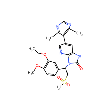 CCOc1cc([C@H](CS(C)(=O)=O)n2c(=O)[nH]c3cc(-c4c(C)ncnc4C)cnc32)ccc1OC